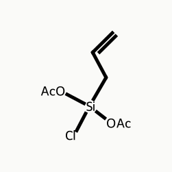 C=CC[Si](Cl)(OC(C)=O)OC(C)=O